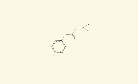 Bc1ccc(NC(=O)NC2CC2)cc1